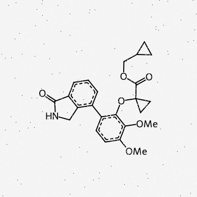 COc1ccc(-c2cccc3c2CNC3=O)c(OC2(C(=O)OCC3CC3)CC2)c1OC